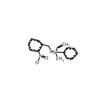 C=C[Si](C)(OCc1ccccc1[N+](=O)[O-])c1ccccc1